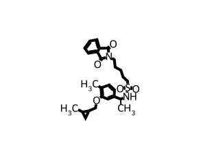 Cc1ccc([C@H](C)NS(=O)(=O)CCCCCN2C(=O)c3ccccc3C2=O)cc1OCC1CC1C